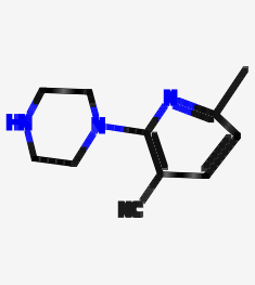 Cc1ccc(C#N)c(N2CCNCC2)n1